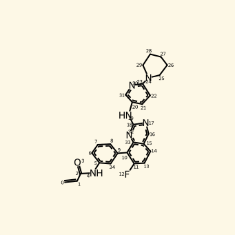 C=CC(=O)Nc1cccc(-c2c(F)ccc3cnc(Nc4ccc(N5CCCCC5)nc4)nc23)c1